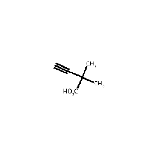 [C]#CC(C)(C)C(=O)O